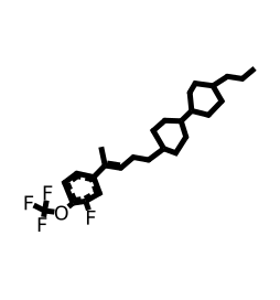 CCCC1CCC(C2CCC(CC/C=C(\C)c3ccc(OC(F)(F)F)c(F)c3)CC2)CC1